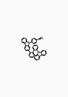 N#Cc1ccc(-n2c3ccccc3c3ccc(-c4ccccc4-c4ccccc4-n4c5ccccc5c5ccccc54)cc32)cc1